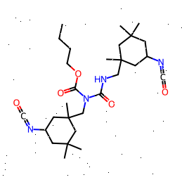 CCCCOC(=O)N(CC1(C)CC(N=C=O)CC(C)(C)C1)C(=O)NCC1(C)CC(N=C=O)CC(C)(C)C1